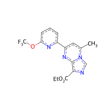 CCOC(=O)c1ncn2c(C)cc(-c3cccc(OC(F)(F)F)n3)nc12